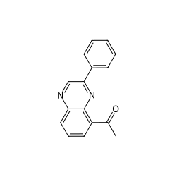 CC(=O)c1cccc2ncc(-c3ccccc3)nc12